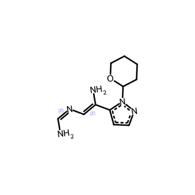 N/C=N\C=C(/N)c1ccnn1C1CCCCO1